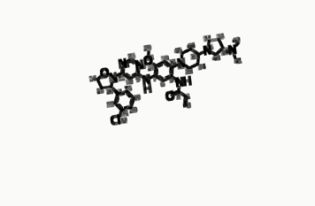 C=CC(=O)Nc1cc(Nc2cc(N3OCC[C@@H]3c3cccc(Cl)c3)ncn2)c(OC)cc1N1CCC(N2CC[C@H](N(C)C)C2)CC1